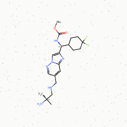 CC(C)(C)OC(=O)N[C@H](c1cn2ncc(CNC[C@](C)(N)C(F)(F)F)cc2n1)C1CCC(F)(F)CC1